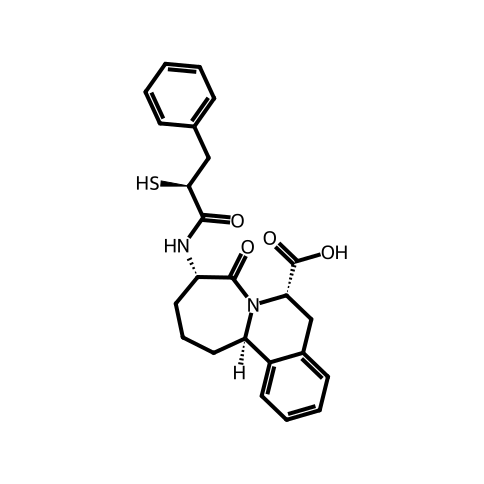 O=C(N[C@H]1CCC[C@@H]2c3ccccc3C[C@@H](C(=O)O)N2C1=O)[C@@H](S)Cc1ccccc1